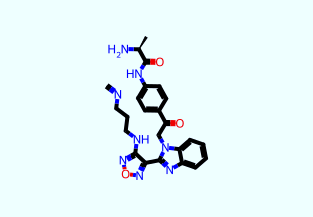 C=NCCCNc1nonc1-c1nc2ccccc2n1CC(=O)c1ccc(NC(=O)[C@H](C)N)cc1